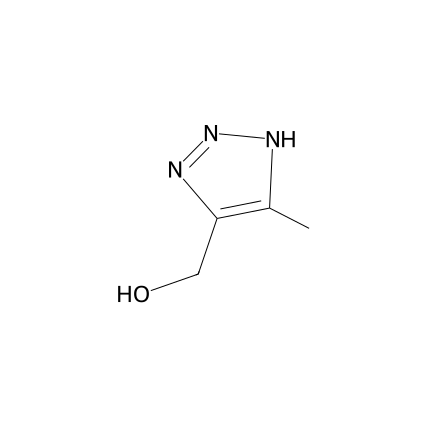 Cc1[nH]nnc1CO